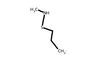 [CH2]CCSNC